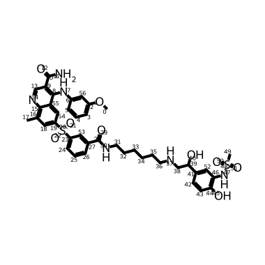 COc1cccc(Nc2c(C(N)=O)cnc3c(C)cc(S(=O)(=O)c4cccc(C(=O)NCCCCCCNCC(O)c5ccc(O)c(NS(C)(=O)=O)c5)c4)cc23)c1